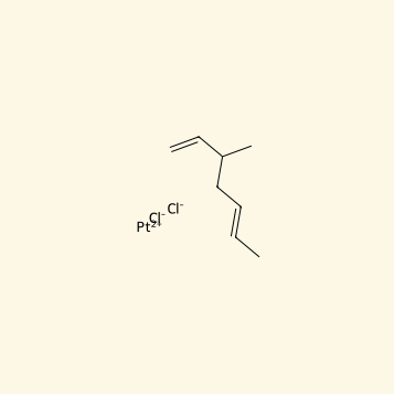 C=CC(C)CC=CC.[Cl-].[Cl-].[Pt+2]